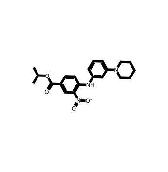 CC(C)OC(=O)c1ccc(Nc2cccc(N3CCCCC3)c2)c([N+](=O)[O-])c1